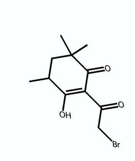 CC1CC(C)(C)C(=O)C(C(=O)CBr)=C1O